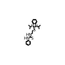 CC(C)N1c2ccccc2N(C(C)C)P1SCCNC(=S)Nc1ccccc1